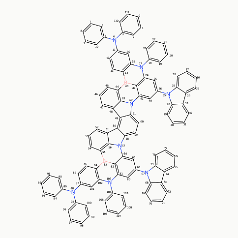 c1ccc(N(c2ccccc2)c2ccc3c(c2)N(c2ccccc2)c2cc(-n4c5ccccc5c5ccccc54)cc4c2B3c2cccc3c5c6c7cccc8c7n(c6ccc5n-4c23)-c2cc(-n3c4ccccc4c4ccccc43)cc3c2B8c2ccc(N(c4ccccc4)c4ccccc4)cc2N3c2ccccc2)cc1